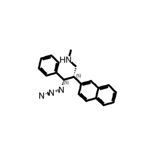 CNC[C@H](c1ccc2ccccc2c1)[C@H](N=[N+]=[N-])c1ccccc1